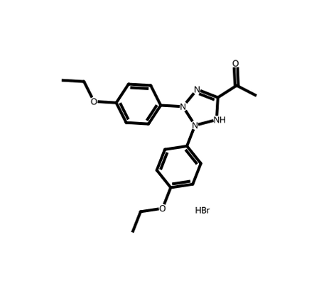 Br.CCOc1ccc(N2N=C(C(C)=O)NN2c2ccc(OCC)cc2)cc1